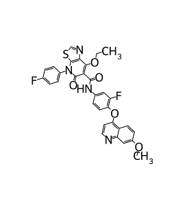 CCOc1c(C(=O)Nc2ccc(Oc3ccnc4cc(OC)ccc34)c(F)c2)c(=O)n(-c2ccc(F)cc2)c2scnc12